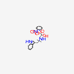 CC(C)(Cc1c[nH]c2ccccc12)NCC(O)COc1ccccc1[N+](=O)[O-]